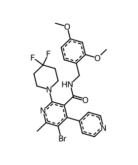 COc1ccc(CNC(=O)c2c(N3CCC(F)(F)CC3)nc(C)c(Br)c2-c2ccncc2)c(OC)c1